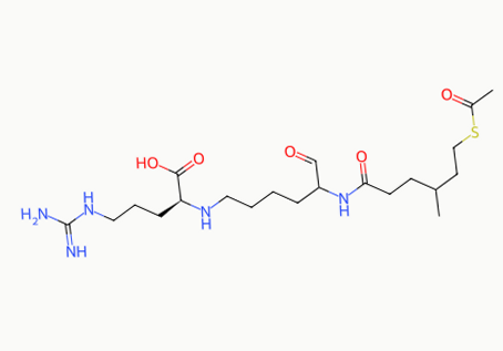 CC(=O)SCCC(C)CCC(=O)NC(C=O)CCCCN[C@@H](CCCNC(=N)N)C(=O)O